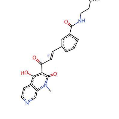 COCCNC(=O)c1cccc(/C=C/C(=O)c2c(O)c3ccncc3n(C)c2=O)c1